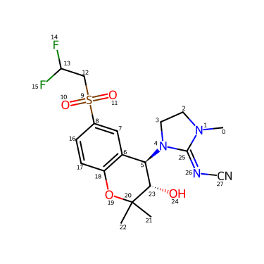 CN1CCN([C@@H]2c3cc(S(=O)(=O)CC(F)F)ccc3OC(C)(C)[C@H]2O)C1=NC#N